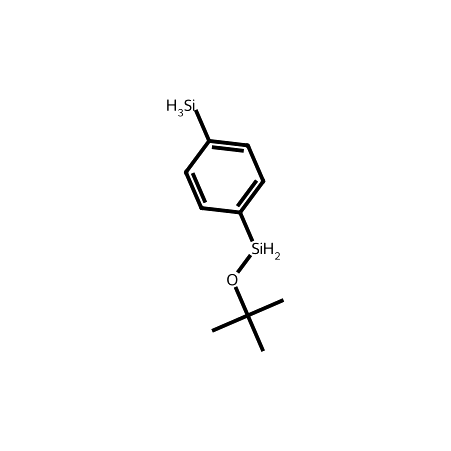 CC(C)(C)O[SiH2]c1ccc([SiH3])cc1